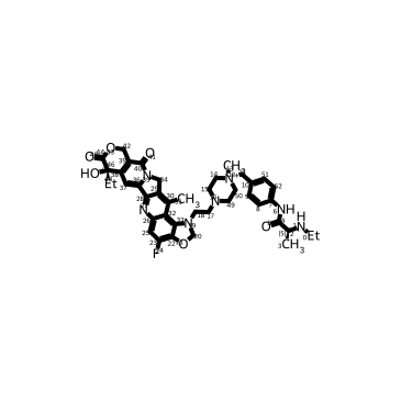 CCN[C@@H](C)C(=O)Nc1ccc(C[N+]2(C)CCN(CCN3COc4c(F)cc5nc6c(c(C)c5c43)Cn3c-6cc4c(c3=O)COC(=O)[C@]4(O)CC)CC2)cc1